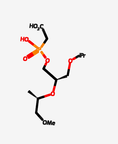 COC[C@H](C)O[C@@H](COC(C)C)COP(=O)(O)CC(=O)O